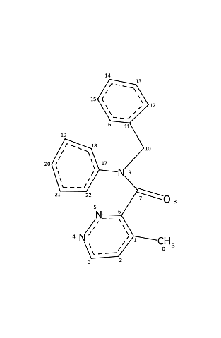 Cc1ccnnc1C(=O)N(Cc1ccccc1)c1ccccc1